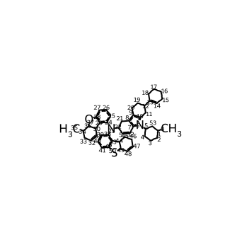 CC1CCCC(n2c3c(c4c2CC(C2=CCCCC2)CC4)CC(N(c2cccc4c2C2C=CCC(C)C2O4)c2cccc4c2C2CCC=CC2S4)C=C3)C1